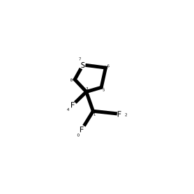 FC(F)C1(F)CCSC1